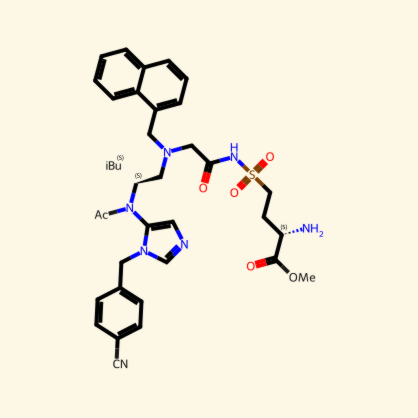 CC[C@H](C)[C@@H](CN(CC(=O)NS(=O)(=O)CC[C@H](N)C(=O)OC)Cc1cccc2ccccc12)N(C(C)=O)c1cncn1Cc1ccc(C#N)cc1